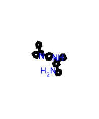 Nc1ccccc1-c1ccc(Nc2ccc(-c3cc(-c4ccccc4)c4ccccc4n3)cc2)c(-c2ccccc2)c1